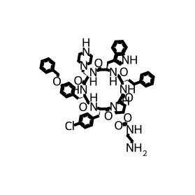 NCCNC(=O)O[C@@H]1C[C@H]2C(=O)N[C@@H](CCc3ccccc3)C(=O)N[C@H](Cc3c[nH]c4ccccc34)C(=O)N[C@@H](CN3CCNCC3)C(=O)N[C@@H](Cc3ccc(OCc4ccccc4)cc3)C(=O)N[C@@H](Cc3ccc(Cl)cc3)C(=O)N2C1